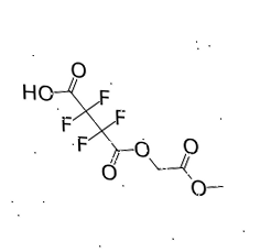 COC(=O)COC(=O)C(F)(F)C(F)(F)C(=O)O